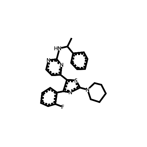 CC(Nc1nccc(-c2sc(N3CCCCC3)nc2-c2ccccc2F)n1)c1ccccc1